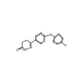 O=C1CCC(c2cnc(Oc3ccc(F)cc3)nc2)=NN1